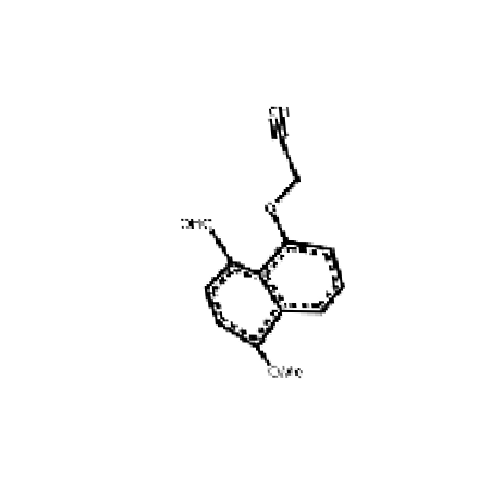 C#CCOc1cccc2c(OC)ccc(C=O)c12